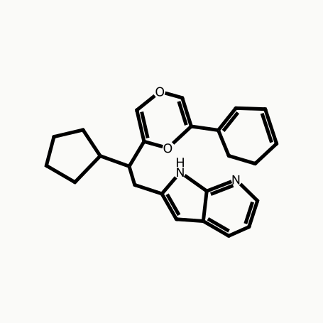 C1=CCCC(C2=COC=C(C(Cc3cc4cccnc4[nH]3)C3CCCC3)O2)=C1